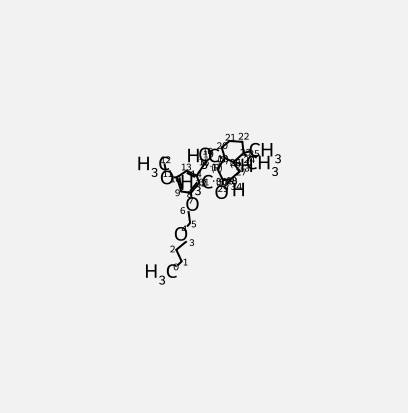 CCCCOCCOc1cc(OC)cc(C(=O)[C@@H]2[C@@]3(C)CCCC(C)(C)[C@@H]3C[C@H]3O[C@@]23C)c1